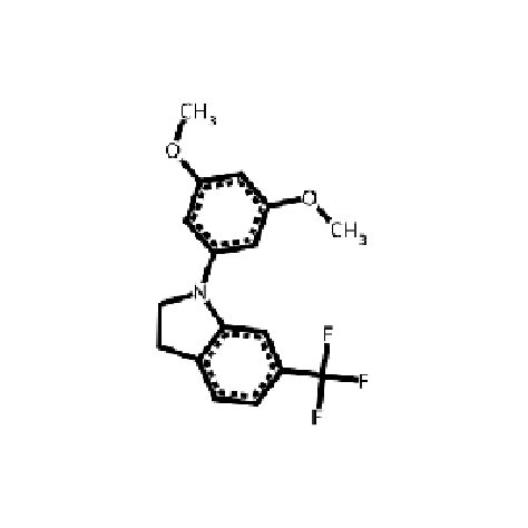 COc1cc(OC)cc(N2CCc3ccc(C(F)(F)F)cc32)c1